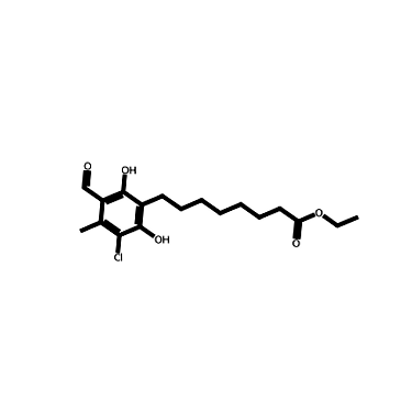 CCOC(=O)CCCCCCCc1c(O)c(Cl)c(C)c(C=O)c1O